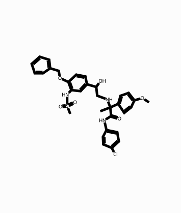 COc1ccc(C(C)(NCC(O)c2ccc(OCc3ccccc3)c(NS(C)(=O)=O)c2)C(=O)Nc2ccc(Cl)cc2)cc1